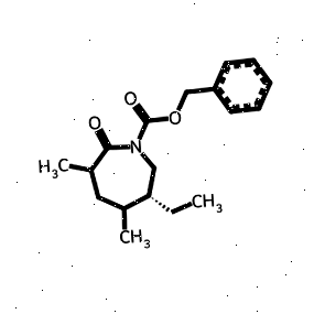 CC[C@H]1CN(C(=O)OCc2ccccc2)C(=O)C(C)CC1C